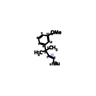 CCCC/C=C/C(C)(C)c1cccc(OC)c1